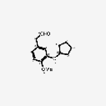 COc1ccc(CC=O)cc1OC1CCCC1